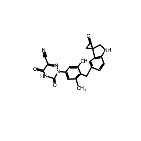 Cc1cc(-n2nc(C#N)c(=O)[nH]c2=O)cc(C)c1Cc1ccc2c(c1)C1(CN2)CC1=O